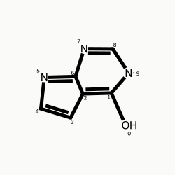 OC1=C2C=CN=C2N=C[N]1